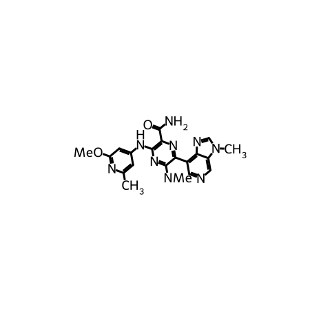 CNc1nc(Nc2cc(C)nc(OC)c2)c(C(N)=O)nc1-c1cncc2c1ncn2C